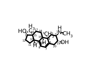 CN[C@@H]1C[C@@]2(C)C(=CC=C3[C@@H]4CC[C@H](O)[C@@]4(C)CC[C@@H]32)C[C@H]1O